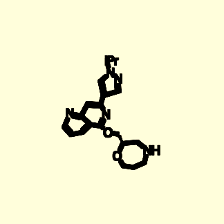 CC(C)n1cc(-c2cc3ncccc3c(OC[C@@H]3CNCCCO3)n2)cn1